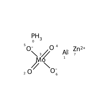 P.[Al].[O]=[Mo](=[O])([O-])[O-].[Zn+2]